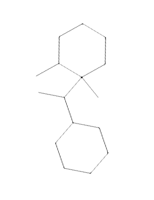 CC1CCCCC1(C)C(C)C1CCCCC1